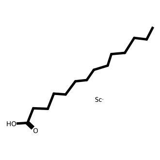 CCCCCCCCCCCCCC(=O)O.[Sc]